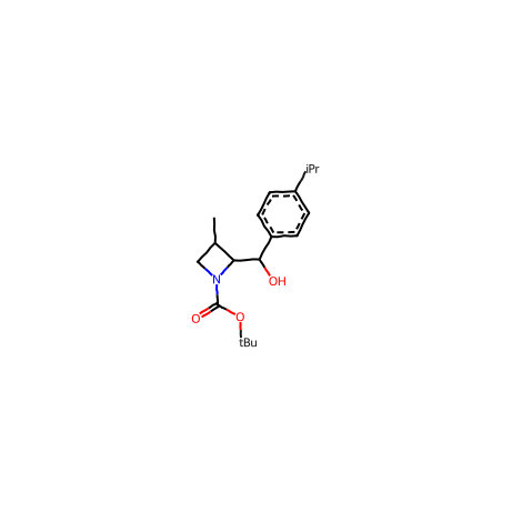 CC(C)c1ccc(C(O)C2C(C)CN2C(=O)OC(C)(C)C)cc1